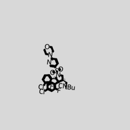 CC(C)(C)C[C@@H]1CN(S(=O)(=O)c2ccc(N3CCOCC3)nc2)[C@H](c2cccc(Cl)c2F)[C@@]1(C#N)c1ccc(Cl)cc1F